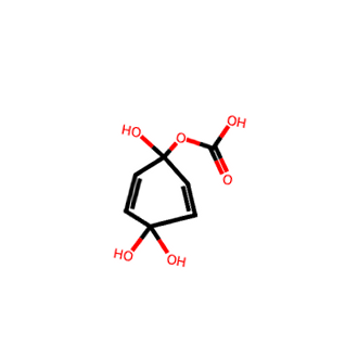 O=C(O)OC1(O)C=CC(O)(O)C=C1